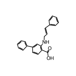 O=C(O)c1ccc(-c2ccccc2)cc1NCC=Cc1ccccc1